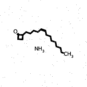 CCCCCCCC/C=C\CCCCC1CCC1=O.N